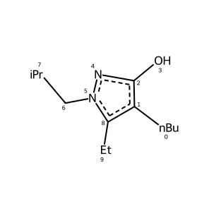 CCCCc1c(O)nn(CC(C)C)c1CC